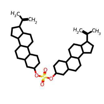 C=C(C)C1CCC2C1CCC1C3CCC(OS(=O)(=O)OC4CCC5C(CCC6C5CCC5C(C(=C)C)CCC56)C4)CC3CCC12